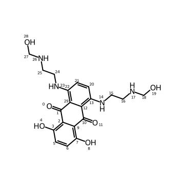 O=C1c2c(O)ccc(O)c2C(=O)c2c(NCCNCO)ccc(NCCNCO)c21